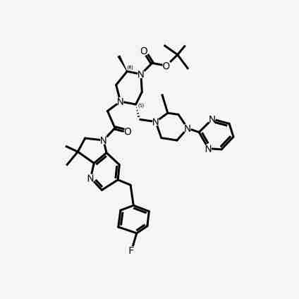 CC1CN(c2ncccn2)CCN1C[C@H]1CN(C(=O)OC(C)(C)C)[C@H](C)CN1CC(=O)N1CC(C)(C)c2ncc(Cc3ccc(F)cc3)cc21